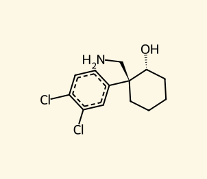 NC[C@]1(c2ccc(Cl)c(Cl)c2)CCCC[C@H]1O